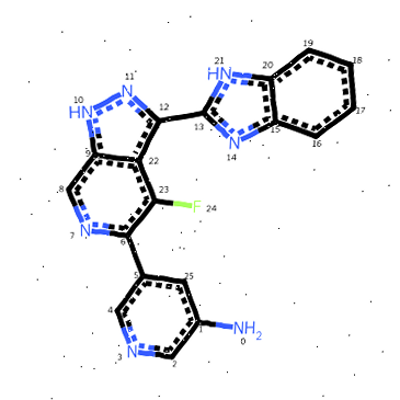 Nc1cncc(-c2ncc3[nH]nc(-c4nc5ccccc5[nH]4)c3c2F)c1